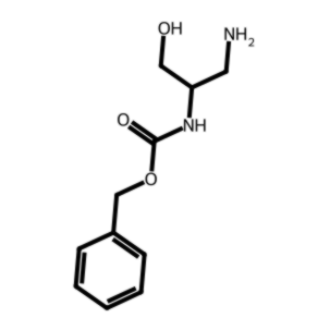 NCC(CO)NC(=O)OCc1ccccc1